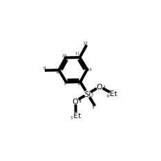 CCO[Si](C)(OCC)c1cc(C)cc(C)c1